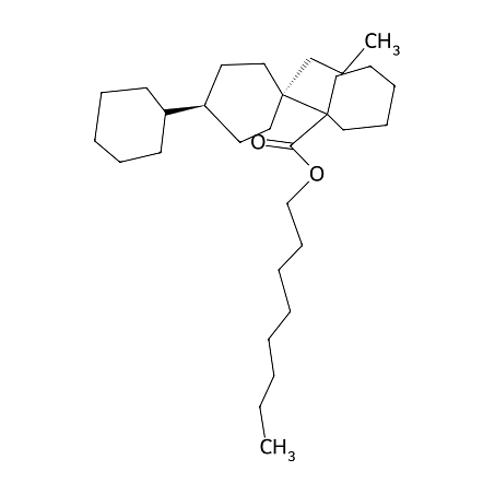 CCCCCCCCOC(=O)C1([C@]2(CCC)CC[C@H](C3CCCCC3)CC2)CCCCC1